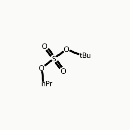 CCCOS(=O)(=O)OC(C)(C)C